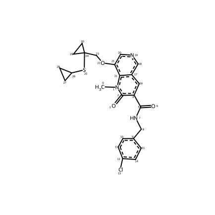 Cn1c(=O)c(C(=O)NCc2ccc(Cl)cc2)cc2cncc(OCC3(SC4CC4)CC3)c21